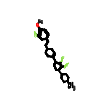 CCOc1ccc(/C=C/C2CCC(c3ccc(C4CCC(C)CC4)c(F)c3F)CC2)cc1F